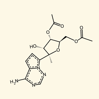 CC(=O)OC[C@H]1O[C@@](C)(c2ccc3c(N)ncnn23)[C@H](O)[C@@H]1OC(C)=O